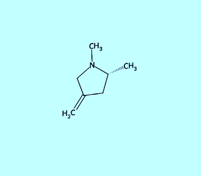 C=C1C[C@@H](C)N(C)C1